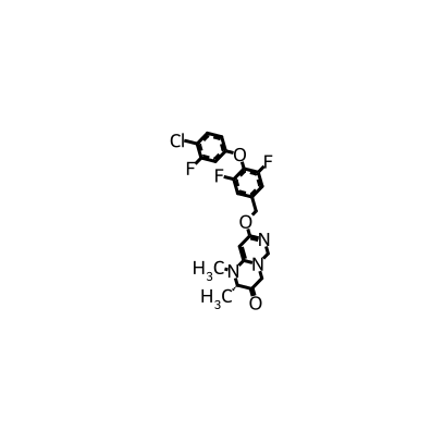 C[C@H]1C(=O)CN2CN=C(OCc3cc(F)c(Oc4ccc(Cl)c(F)c4)c(F)c3)C=C2N1C